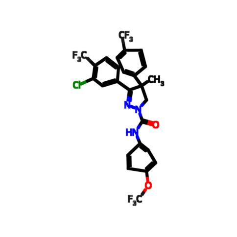 CC1(c2ccc(C(F)(F)F)cc2)CN(C(=O)Nc2ccc(OC(F)(F)F)cc2)N=C1c1ccc(C(F)(F)F)c(Cl)c1